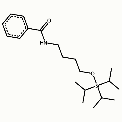 CC(C)[Si](OCCCCNC(=O)c1ccccc1)(C(C)C)C(C)C